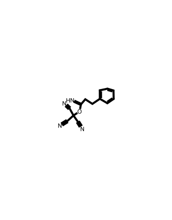 N#CC(C#N)(C#N)OC(=N)CCc1ccccc1